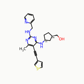 Cc1nc(NCc2ccccn2)nc(N[C@H]2CC[C@@H](CO)C2)c1C#Cc1ccsc1